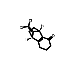 O=C1CCCC2=C1[C@H]1CC[C@@H]2C1=C(Cl)Cl